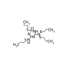 CCCSNC1=NC(Cl)(SCCC)NC(N(SCCC)SCCC)=N1